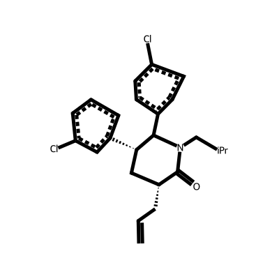 C=CC[C@@H]1C[C@H](c2cccc(Cl)c2)C(c2ccc(Cl)cc2)N(CC(C)C)C1=O